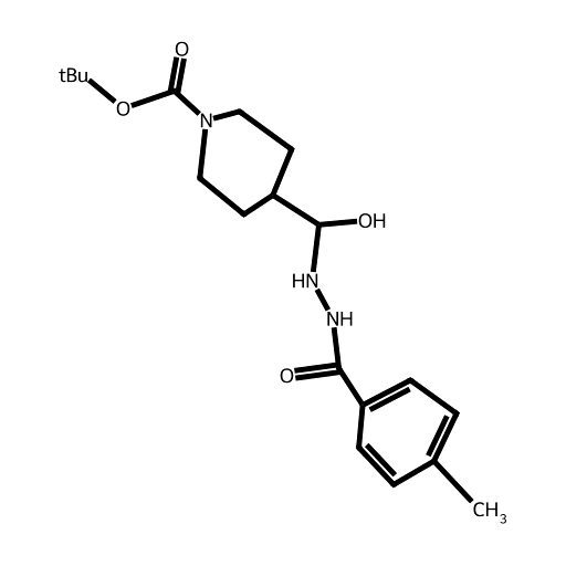 Cc1ccc(C(=O)NNC(O)C2CCN(C(=O)OC(C)(C)C)CC2)cc1